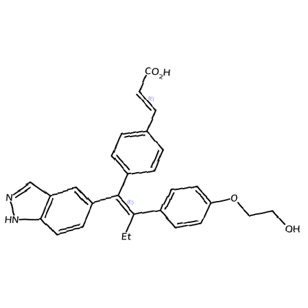 CC/C(=C(/c1ccc(/C=C/C(=O)O)cc1)c1ccc2[nH]ncc2c1)c1ccc(OCCO)cc1